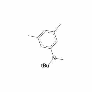 Cc1cc(C)cc(N(C)C(C)(C)C)c1